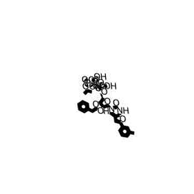 Cc1cccc(C2=CC3=CN([C@@H]4O[C@H](COP(=O)(O)OP(=O)(O)OP(=O)(O)OC(C)C)C5OC(Cc6ccccc6)O[C@@H]54)C(=O)NC3O2)c1